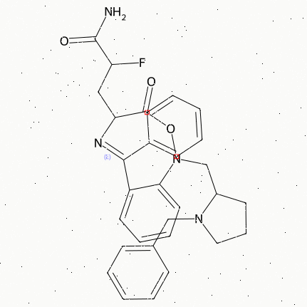 NC(=O)C(F)CC1/N=C(\c2ccccc2)c2ccccc2N(CC2CCCN2Cc2ccccc2)OC1=O